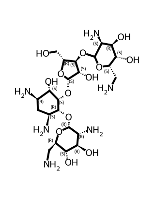 NC[C@@H]1OC(O[C@H]2[C@H](O)[C@H](O[C@H]3[C@@H](O)[C@H](N)C[C@H](N)[C@H]3O[C@H]3O[C@H](CN)[C@@H](O)[C@H](O)[C@H]3N)O[C@@H]2CO)[C@@H](N)[C@@H](O)[C@@H]1O